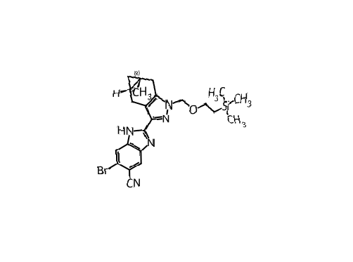 C[C@@]12Cc3c(c(-c4nc5cc(C#N)c(Br)cc5[nH]4)nn3COCC[Si](C)(C)C)C[C@@H]1C2